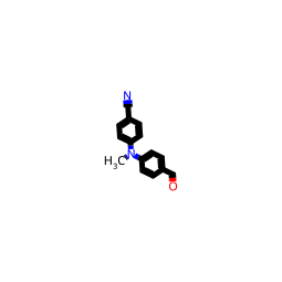 CN(c1ccc(C#N)cc1)c1ccc(C=O)cc1